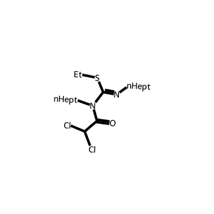 CCCCCCCN=C(SCC)N(CCCCCCC)C(=O)C(Cl)Cl